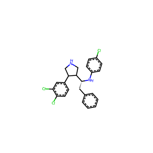 Clc1ccc(N[C@H](Cc2ccccc2)C2CNCC2c2ccc(Cl)c(Cl)c2)cc1